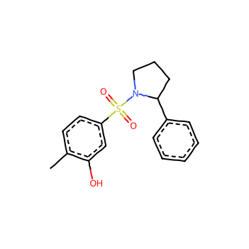 Cc1ccc(S(=O)(=O)N2CCCC2c2ccccc2)cc1O